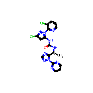 C[C@H](NC(=O)Nc1cc(Cl)nn1-c1ncccc1Cl)c1ncnn1-c1ncccn1